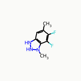 Cc1cc2c(c(F)c1F)N(C)NN2